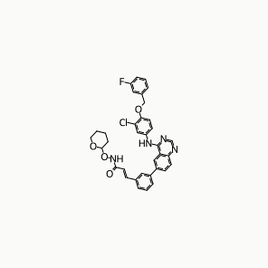 O=C(C=Cc1cccc(-c2ccc3ncnc(Nc4ccc(OCc5cccc(F)c5)c(Cl)c4)c3c2)c1)NOC1CCCCO1